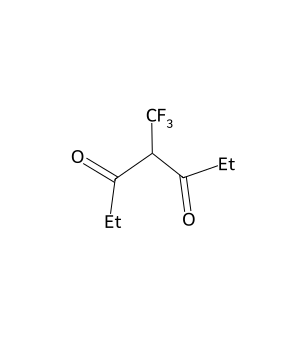 CCC(=O)C(C(=O)CC)C(F)(F)F